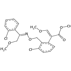 CO/C=C(/C(=O)OC)c1cccc(Cl)c1CO/N=C(\COC)c1ccccc1Cl